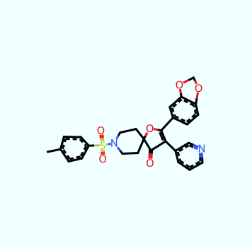 Cc1ccc(S(=O)(=O)N2CCC3(CC2)OC(c2ccc4c(c2)OCO4)=C(c2cccnc2)C3=O)cc1